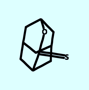 S=C1OC2CC3CC(C2)CC1C3